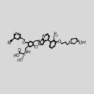 Cc1c(OCCCN2CC[C@@H](O)C2)cccc1-c1ccnc2c1cnn2Cc1cc(OCc2cncc(C#N)c2)c(CN[C@@H](CO)C(=O)O)cc1Cl